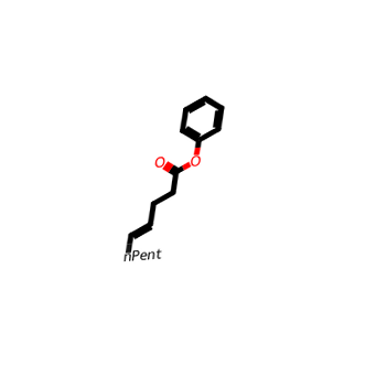 CCCCCC=CCCC(=O)Oc1ccccc1